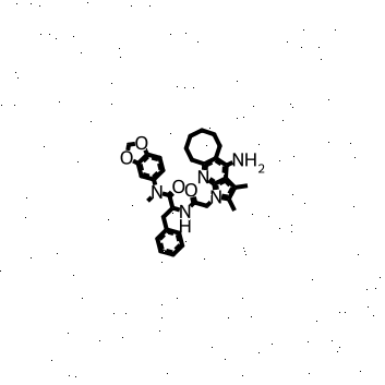 Cc1c(C)n(CC(=O)NC(Cc2ccccc2)C(=O)N(C)c2ccc3c(c2)OCO3)c2nc3c(c(N)c12)CCCCCC3